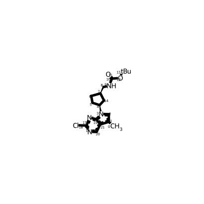 Cc1cn([C@H]2CC[C@@H](CNC(=O)OC(C)(C)C)C2)c2nc(Cl)ncc12